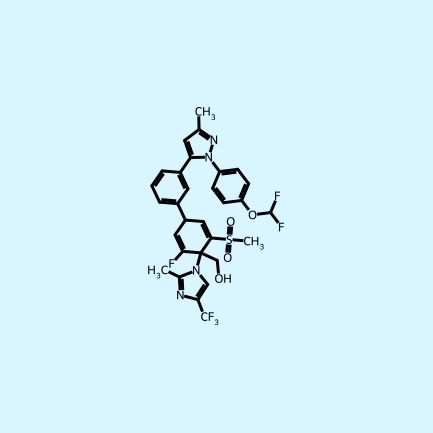 Cc1cc(-c2cccc(C3C=C(F)C(CO)(n4cc(C(F)(F)F)nc4C)C(S(C)(=O)=O)=C3)c2)n(-c2ccc(OC(F)F)cc2)n1